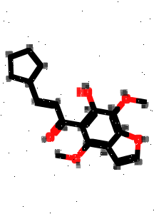 COc1c(C(=O)/C=C/C2CCCC2)c(O)c(OC)c2occc12